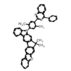 Cc1cc(-n2c3ccccc3c3cc4c(cc32)C(C)(C)c2cc3oc5ccccc5c3cc2-4)c(C)cc1-c1nc(-c2ccccc2)c2ccccc2n1